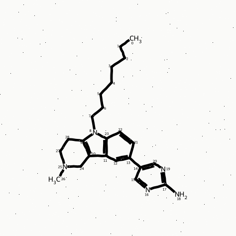 CCCCCCCCn1c2c(c3cc(-c4cnc(N)nc4)ccc31)CN(C)CC2